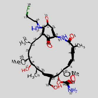 CO[C@H]1/C=C\C=C(/C)C(=O)NC2=CC(=O)C(NCCF)=C(C[C@H](C)C[C@H](OC)[C@H](O)[C@H](C)/C=C(\CO)[C@@H]1OC(N)=O)C2=O